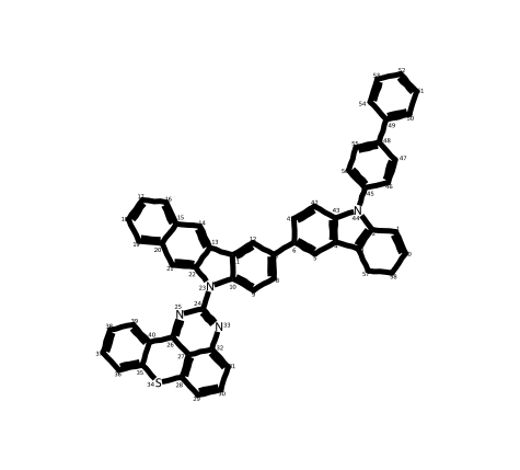 C1=Cc2c(c3cc(-c4ccc5c(c4)c4cc6ccccc6cc4n5-c4nc5c6c(cccc6n4)Sc4ccccc4-5)ccc3n2-c2ccc(-c3ccccc3)cc2)CC1